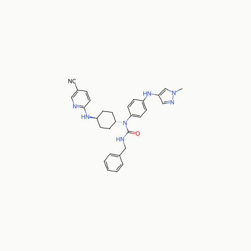 Cn1cc(Nc2ccc(N(C(=O)NCc3ccccc3)[C@H]3CC[C@H](Nc4ccc(C#N)cn4)CC3)cc2)cn1